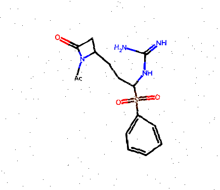 CC(=O)N1C(=O)CC1CCC(NC(=N)N)S(=O)(=O)c1ccccc1